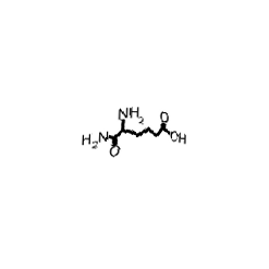 NC(=O)C(N)CCCC(=O)O